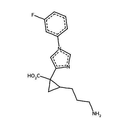 NCCCC1CC1(C(=O)O)c1cn(-c2cccc(F)c2)cn1